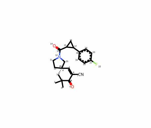 CC1(C)C[C@]2(C=C(C#N)C1=O)CCN(C(=O)C1CC1c1ccc(F)cc1)C2